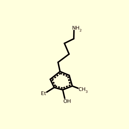 CCc1cc(CCCCN)cc(C)c1O